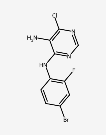 Nc1c(Cl)ncnc1Nc1ccc(Br)cc1F